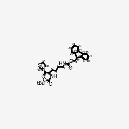 CC(C)(C)OC(=O)NC(CCCCNC(=O)OCC1c2ccccc2-c2ccccc21)C(=O)N1CCSC1